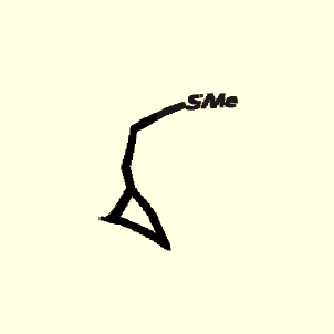 CSCC1[CH]C1